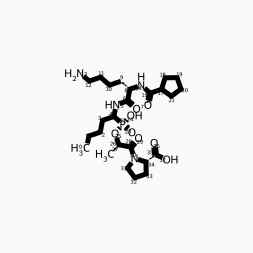 CCCCC(NC(=O)[C@H](CCCCN)NC(=O)C1CCCC1)P(=O)(O)O[C@@H](C)C(=O)N1CCC[C@H]1C(=O)O